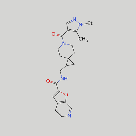 CCn1ncc(C(=O)N2CCC3(CC2)CC3CNC(=O)c2cc3ccncc3o2)c1C